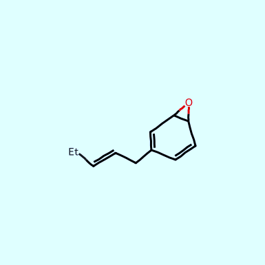 CCC=CCC1=CC2OC2C=C1